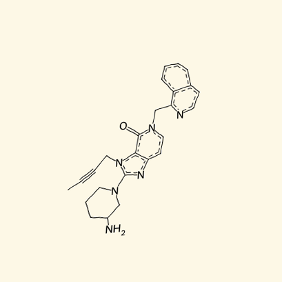 CC#CCn1c(N2CCCC(N)C2)nc2ccn(Cc3nccc4ccccc34)c(=O)c21